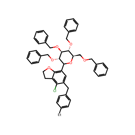 CCc1ccc(Cc2cc(C3O[C@H](COCc4ccccc4)[C@@H](OCc4ccccc4)[C@H](OCc4ccccc4)[C@H]3OCc3ccccc3)c3c(c2Cl)CCO3)cc1